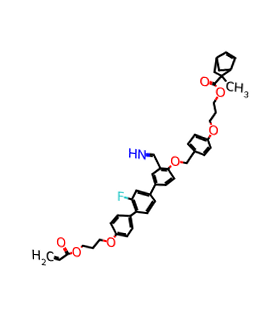 C=CC(=O)OCCCOc1ccc(-c2ccc(-c3ccc(OCc4ccc(OCCCOC(=O)C5(C)CC6C=CC5C6)cc4)c(C=N)c3)cc2F)cc1